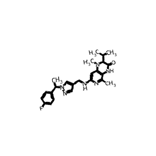 Cc1nc(NCc2cnn(C(C)c3ccc(F)cc3)c2)cc2c1NC(=O)C(C(C)C)N2C